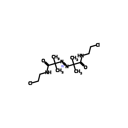 CC(C)(/N=N/C(C)(C)C(=O)NCCCl)C(=O)NCCCl